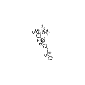 CC(C)(C)CN1CC(C(=O)NS(=O)(=O)c2ccc(CCNC(=O)c3ccccc3)cc2)=CC=C1C(=O)O